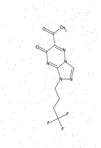 CC(=O)c1nn2cnn(CCCC(F)(F)F)c2nc1=O